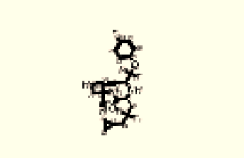 CC#CC(N[C@@H](CC(F)(F)CC1CC1)C(=O)NC1(C#N)CCC1)C(F)(F)Oc1ccc(F)cc1